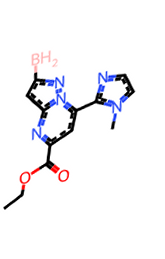 Bc1cc2nc(C(=O)OCC)cc(-c3nccn3C)n2n1